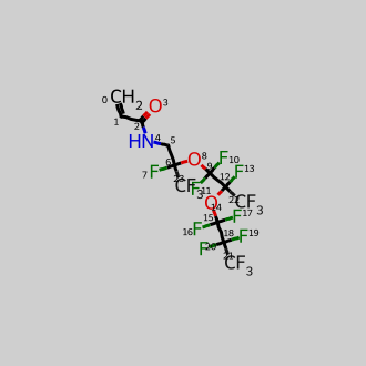 C=CC(=O)NCC(F)(OC(F)(F)C(F)(OC(F)(F)C(F)(F)C(F)(F)F)C(F)(F)F)C(F)(F)F